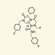 O=C1[C@H](c2ccccc2)N2C(=O)CN(CF)N(C(=O)NCc3ccc(F)cc3)[C@H]2CN1Cc1ccc(F)cc1